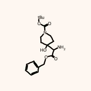 CC(C)(C)OC(=O)N1CCC(O)(C(N)C(=O)OCc2ccccc2)CC1